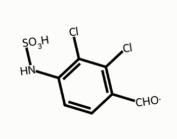 O=[C]c1ccc(NS(=O)(=O)O)c(Cl)c1Cl